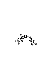 O=C1CCC(N2Cc3cc(CN4CCN(c5ccnc(Br)c5F)CC4)ccc3C2=O)C(=O)N1